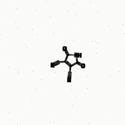 N#CC1=C(C#N)C(=O)NC1=O